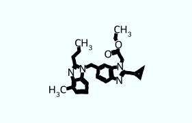 CCCc1nc2c(C)cccc2n1Cc1ccc2nc(C3CC3)n(CC(=O)OCC)c2c1